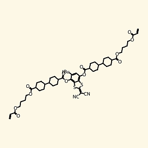 C=CC(=O)OCCCCOC(=O)C1CCC(C2CCC(C(=O)Oc3cc(C(C)(C)C)c(OC(=O)C4CCC(C5CCC(C(=O)OCCCCOC(=O)C=C)CC5)CC4)c4c3SC(=C(C#N)C#N)S4)CC2)CC1